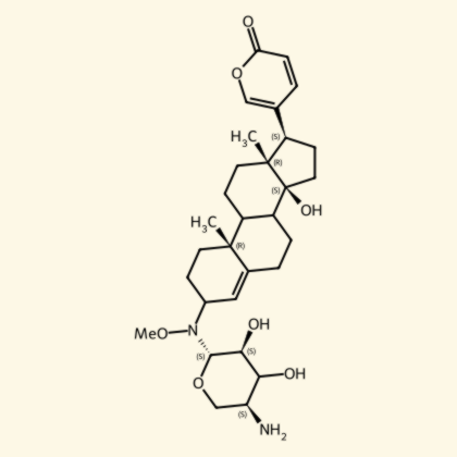 CON(C1C=C2CCC3C(CC[C@]4(C)[C@@H](c5ccc(=O)oc5)CC[C@]34O)[C@@]2(C)CC1)[C@H]1OC[C@H](N)C(O)[C@@H]1O